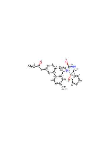 COC(=O)Cc1ccc(OC)c(-c2ccc(C(F)(F)F)cc2CN2C(=O)NC(C)(c3ccccc3)C2=O)c1